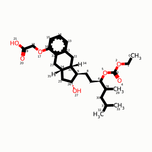 CCOC(=O)O[C@H](CC[C@@H]1[C@H]2Cc3cccc(OCC(=O)O)c3C[C@H]2C[C@H]1O)C(C)CC(C)C